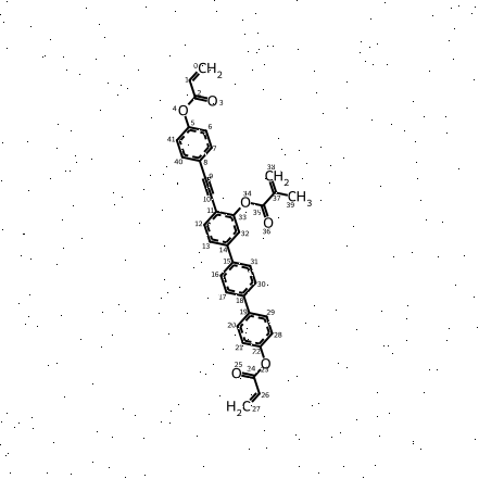 C=CC(=O)Oc1ccc(C#Cc2ccc(-c3ccc(-c4ccc(OC(=O)C=C)cc4)cc3)cc2OC(=O)C(=C)C)cc1